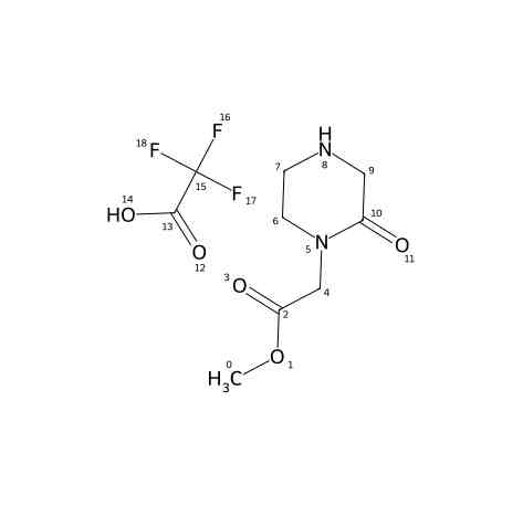 COC(=O)CN1CCNCC1=O.O=C(O)C(F)(F)F